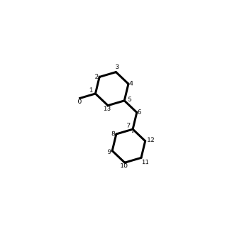 CC1CCCC(C[C]2CCCCC2)C1